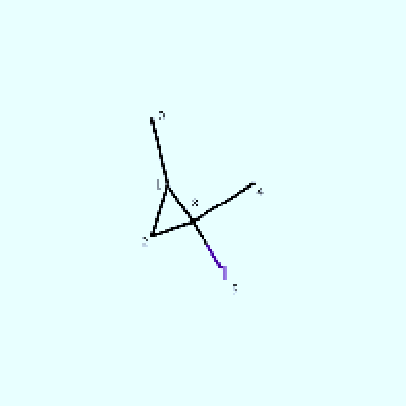 CC1CC1(C)I